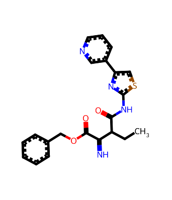 CCC(C(=N)C(=O)OCc1ccccc1)C(=O)Nc1nc(-c2cccnc2)cs1